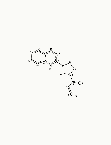 C=CC(=O)N1CCC(c2ncc3ccccc3n2)C1